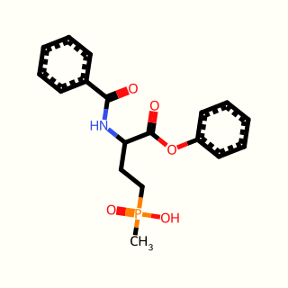 CP(=O)(O)CCC(NC(=O)c1ccccc1)C(=O)Oc1ccccc1